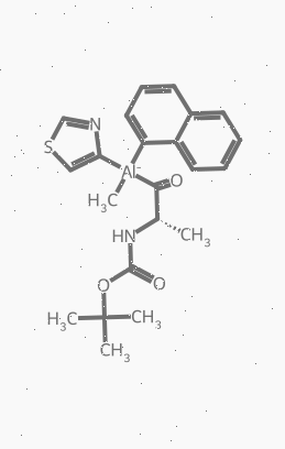 C[C@H](NC(=O)OC(C)(C)C)[C](=O)[Al-]([CH3])([c]1cscn1)[c]1cccc2ccccc12